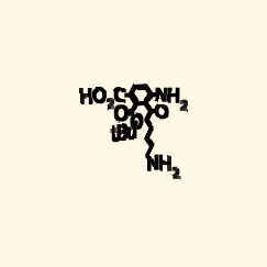 CC(C)(C)OC(=O)c1c(C(=O)O)ccc(N)c1C(=O)CCCCCN